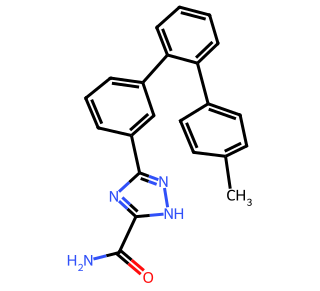 Cc1ccc(-c2ccccc2-c2cccc(-c3n[nH]c(C(N)=O)n3)c2)cc1